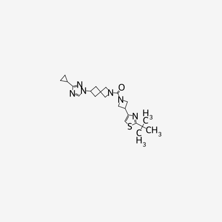 CC(C)(C)c1nc(C2CN(C(=O)N3CC4(CC(n5cnc(C6CC6)n5)C4)C3)C2)cs1